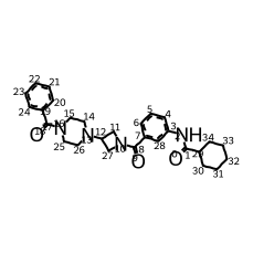 O=C(Nc1cccc(C(=O)N2CC(N3CCN(C(=O)c4ccccc4)CC3)C2)c1)C1CCCCC1